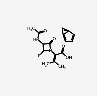 CC(=O)NC1C(=O)N(C(C(=O)O)=C(C)C)C1F.c1cc2cc-2c1